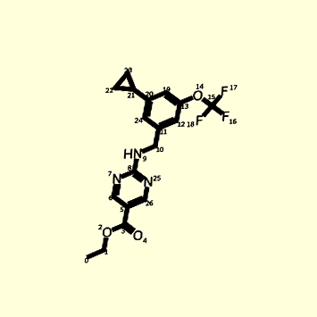 CCOC(=O)c1cnc(NCc2cc(OC(F)(F)F)cc(C3CC3)c2)nc1